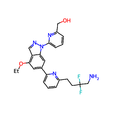 CCOc1cc(-c2cccc(CCC(F)(F)CN)n2)cc2c1cnn2-c1cccc(CO)n1